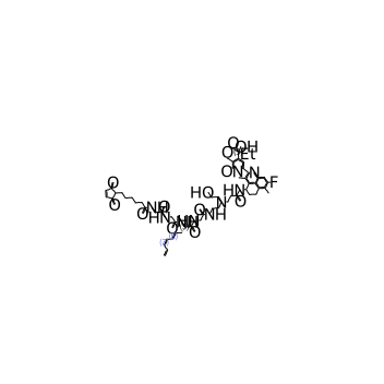 C=C/C=C\C=C\C[C@H](NC(=O)CNC(=O)CNC(=O)CCCCCC1C(=O)C=CC1=O)C(=O)NCC(=O)NCCN(CCO)CCC(=O)NC1CCc2c(C)c(F)cc3nc4c(c1c23)Cn1c-4cc2c(c1=O)COC(=O)[C@]2(O)CC